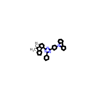 CC1(C)c2ccccc2-c2c(-c3nc(-c4ccccc4)nc(-c4ccc(-n5c6ccccc6c6ccccc65)cc4)n3)cccc21